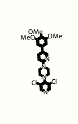 COc1cc(-c2ccc(N3CCN(c4c(Cl)cncc4Cl)CC3)nc2)cc(OC)c1OC